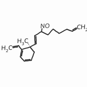 C=CCCCCC(/C=C/[C@@]1(C)CC=CC=C1C=C)N=O